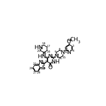 COc1ccnc(N2CCN(c3nc(N[C@@H]4CCCNC4)c(-c4nc5ccccc5s4)c(=O)[nH]3)CC2)c1